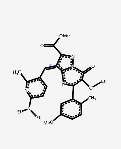 CCOc1c(-c2cc(OC)ccc2C)nc2/c(=C\c3ccc(N(CC)CC)nc3C)c(C(=O)OC)nn2c1=O